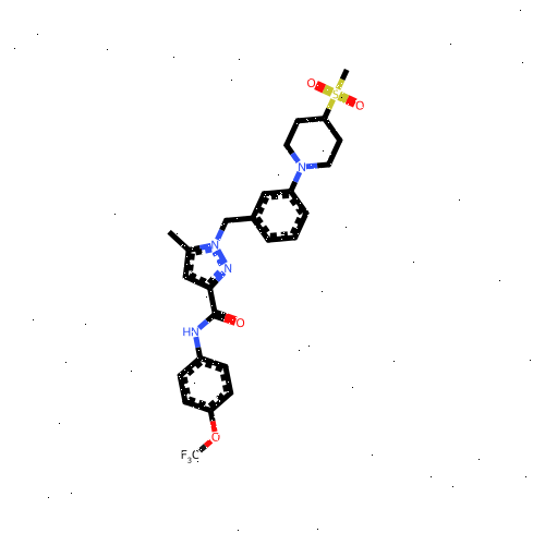 Cc1cc(C(=O)Nc2ccc(OC(F)(F)F)cc2)nn1Cc1cccc(N2CCC(S(C)(=O)=O)CC2)c1